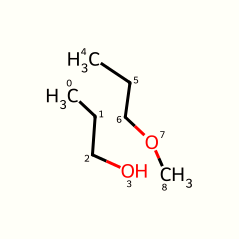 CCCO.CCCOC